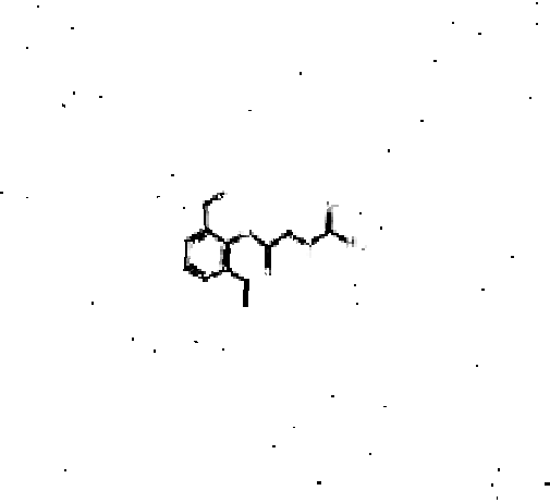 CCc1cccc(CC)c1OC(=O)CNC(=N)N